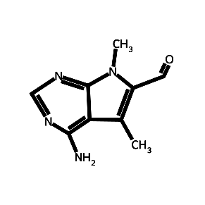 Cc1c(C=O)n(C)c2ncnc(N)c12